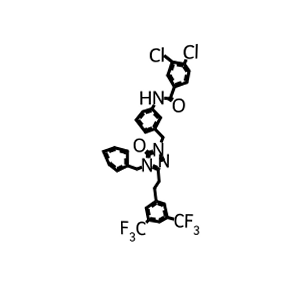 O=C(Nc1cccc(Cn2nc(CCc3cc(C(F)(F)F)cc(C(F)(F)F)c3)n(Cc3ccccc3)c2=O)c1)c1ccc(Cl)c(Cl)c1